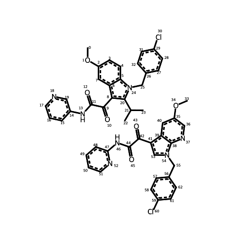 COc1ccc2c(c1)c(C(=O)C(=O)Nc1cccnc1)c(C(C)C)n2Cc1ccc(Cl)cc1.COc1cnc2c(c1)c(C(=O)C(=O)Nc1ccccn1)cn2Cc1ccc(Cl)cc1